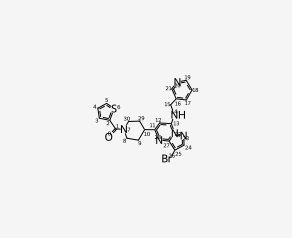 O=C(c1cccs1)N1CCC(c2cc(NCc3cccnc3)n3ncc(Br)c3n2)CC1